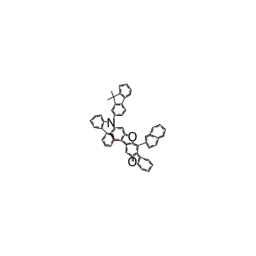 CC1(C)c2ccccc2-c2ccc(N(c3ccc4c(c3)oc3c(-c5ccc6ccccc6c5)c5c(cc34)oc3ccccc35)c3ccccc3-c3ccccc3)cc21